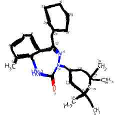 Cc1cccc2c1NC(=O)N(C1CC(C)(C)CC(C)(C)C1)N=C2C1CCCCC1